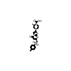 Cc1ccc(S(=O)(=O)Oc2cc(=O)n3cc(N4CCN(C(=O)O)[C@H](C)C4)sc3n2)cc1